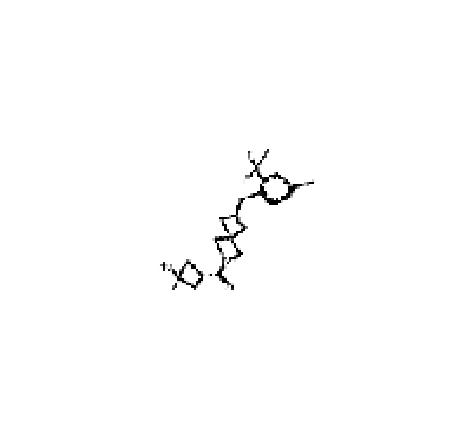 Cc1ccc(CC2CC3(C2)CN(C(=O)[C@H]2C[C@@](C)(O)C2)C3)c(C(F)(F)F)c1